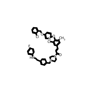 Cc1cc(C=CC(=O)N2CCN(Cc3ccc(CCNc4ccc(F)cc4)cc3)CC2)cc(Cl)c1Oc1ccc(OCc2ccccc2Cl)cn1